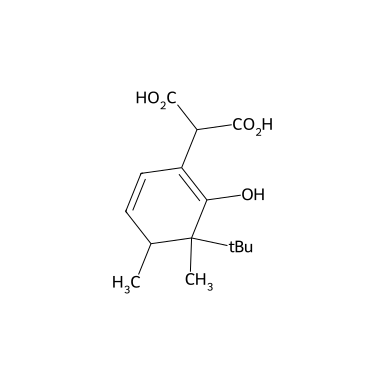 CC1C=CC(C(C(=O)O)C(=O)O)=C(O)C1(C)C(C)(C)C